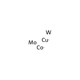 [Co].[Cu].[Mo].[W]